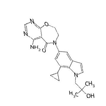 CC(C)(O)Cn1ccc2cc(N3CCOc4ncnc(N)c4C3=O)cc(C3CC3)c21